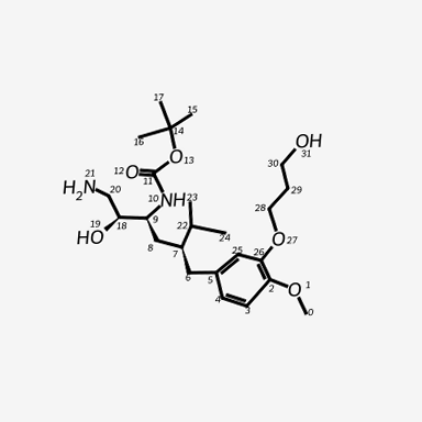 COc1ccc(C[C@@H](C[C@H](NC(=O)OC(C)(C)C)[C@@H](O)CN)C(C)C)cc1OCCCO